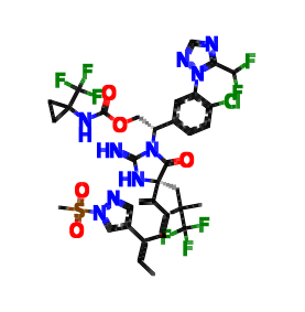 C=C(/C=C\C(=C/C)c1cnn(S(C)(=O)=O)c1)[C@@]1(CC(C)(C)C(F)(F)F)NC(=N)N([C@H](COC(=O)NC2(C(F)(F)F)CC2)c2ccc(Cl)c(-n3ncnc3C(F)F)c2)C1=O